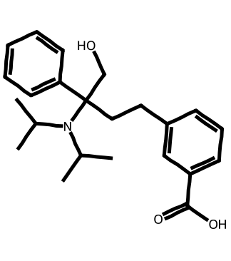 CC(C)N(C(C)C)C(CO)(CCc1cccc(C(=O)O)c1)c1ccccc1